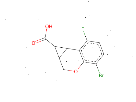 O=C(O)C1C2COc3c(Br)ccc(F)c3C21